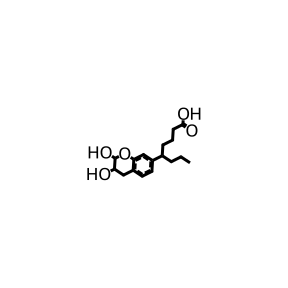 CCCC(CCCC(=O)O)c1ccc2c(c1)OC(O)C(O)C2